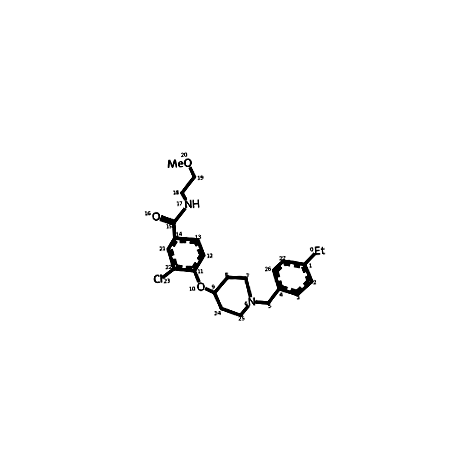 CCc1ccc(CN2CCC(Oc3ccc(C(=O)NCCOC)cc3Cl)CC2)cc1